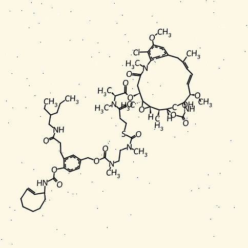 CCCC(CC)CNC(=O)CCc1cc(COC(=O)N(C)CCN(C)C(=O)SCCC(=O)N(C)[C@@H](C)C(=O)O[C@H]2CC(=O)N(C)c3cc(cc(OC)c3Cl)C/C(C)=C/C=C/[C@@H](OC)[C@@]3(O)C[C@H](OC(=O)N3)[C@@H](C)[C@@H]3O[C@@]23C)ccc1OC(=O)NC1/C=C/CCCCC1